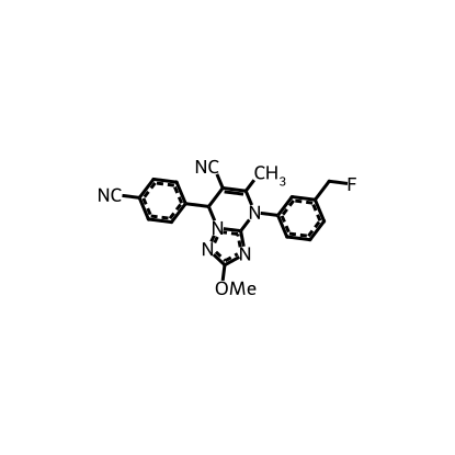 COc1nc2n(n1)C(c1ccc(C#N)cc1)C(C#N)=C(C)N2c1cccc(CF)c1